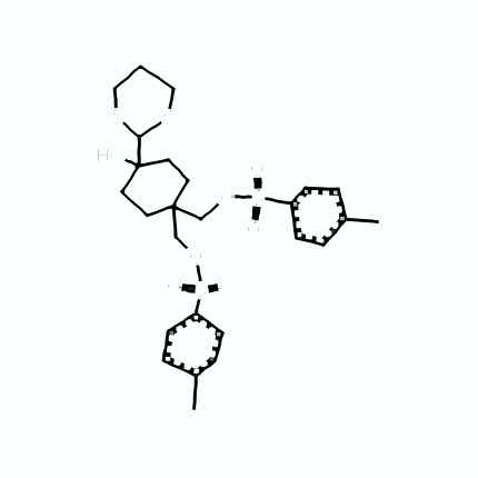 Cc1ccc(S(=O)(=O)OCC2(COS(=O)(=O)c3ccc(C)cc3)CCC(O)(C3SCCCS3)CC2)cc1